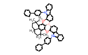 CC1(C)CCC2(C)CCC(C)(C)c3c4c5c(c1c32)Oc1c(ccc2c3ccccc3n(-c3ccc(-c6ccccc6)cc3)c12)B5c1ccc2c3ccccc3n(-c3ccc(-c5ccccc5)cc3)c2c1O4